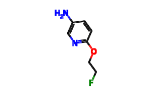 Nc1ccc(OCCF)nc1